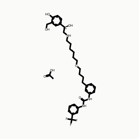 CC(=O)O.O=C(Nc1cccc(CCCCOCCCCCCNC[C@H](O)c2ccc(O)c(CO)c2)c1)Nc1cccc(C(F)(F)F)c1